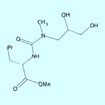 COC(=O)[C@H](CC(C)C)NC(=O)N(C)CC(O)CO